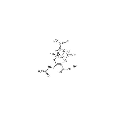 CC(=O)OCC1=C(C(=O)O)N2C(=O)[C@@H]3[C@H]2[C@H](C1)CN3C(C)=O.[NaH]